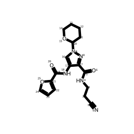 N#CCCNC(=O)c1nn(C2CCCCO2)cc1NC(=O)c1ccco1